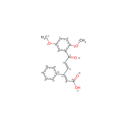 COc1ccc(OC)c(C(=O)/C=C/C(=C\C(=O)O)c2ccccc2)c1